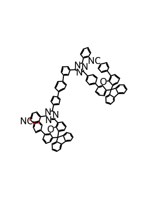 N#Cc1ccc(-c2cccc3c2Oc2c(-c4ccc(-c5nc(-c6ccccc6)nc(-c6cccc(-c7ccc(-c8ccc(-c9nc(-c%10ccccc%10)nc(-c%10cccc%11c%10Oc%10c(-c%12ccc(C#N)cc%12)cccc%10C%11%10c%11ccccc%11-c%11ccccc%11%10)n9)cc8)cc7)c6)n5)cc4)cccc2C32c3ccccc3-c3ccccc32)cc1